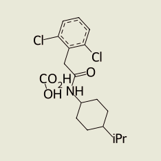 CC(C)C1CCC(NC(=O)Cc2c(Cl)cccc2Cl)CC1.O=C(O)O